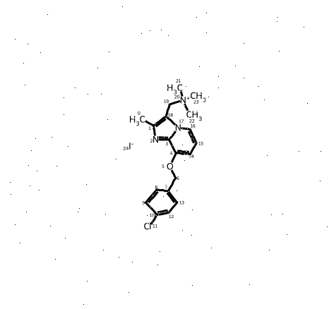 Cc1nc2c(OCc3ccc(Cl)cc3)cccn2c1C[N+](C)(C)C.[I-]